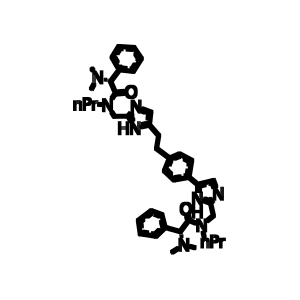 CCCN(Cc1ncc(CCc2ccc(-c3cnc(CN(CCC)C(=O)[C@@H](c4ccccc4)N(C)C)[nH]3)cc2)[nH]1)C(=O)[C@@H](c1ccccc1)N(C)C